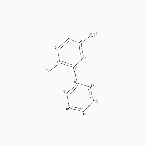 Cc1ccc(Cl)cc1-c1ccccc1